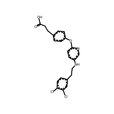 O=C(O)CCc1ccc(Oc2ccc(NCCc3ccc(Cl)c(Cl)c3)cn2)cc1